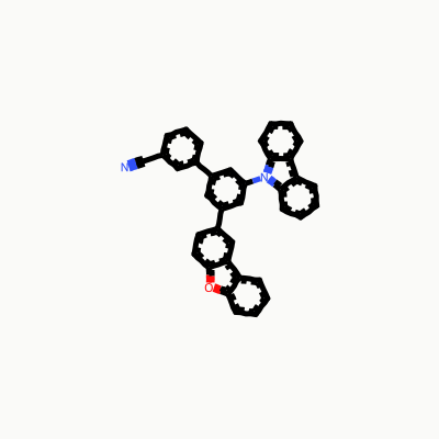 N#Cc1cccc(-c2cc(-c3ccc4oc5ccccc5c4c3)cc(-n3c4ccccc4c4ccccc43)c2)c1